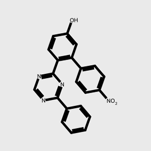 O=[N+]([O-])c1ccc(-c2cc(O)ccc2-c2ncnc(-c3ccccc3)n2)cc1